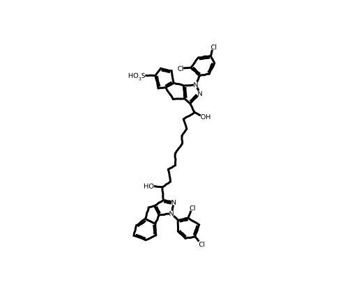 O=S(=O)(O)c1ccc2c(c1)Cc1c(C(O)CCCCCCCCC(O)c3nn(-c4ccc(Cl)cc4Cl)c4c3Cc3ccccc3-4)nn(-c3ccc(Cl)cc3Cl)c1-2